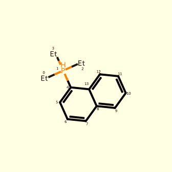 CC[PH](CC)(CC)c1cccc2ccccc12